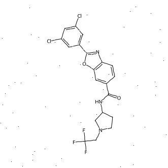 O=C(NC1CCN(CC(F)(F)F)C1)c1ccc2nc(-c3cc(Cl)cc(Cl)c3)oc2c1